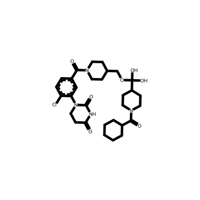 O=C1CCN(c2cc(C(=O)N3CCC(COC(O)(O)C4CCN(C(=O)C5CCCCC5)CC4)CC3)ccc2Cl)C(=O)N1